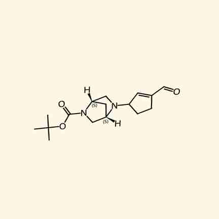 CC(C)(C)OC(=O)N1C[C@@H]2C[C@H]1CN2C1C=C(C=O)CC1